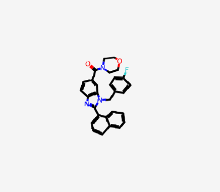 O=C(c1ccc2nc(-c3cccc4ccccc34)n(Cc3ccc(F)cc3)c2c1)N1CCOCC1